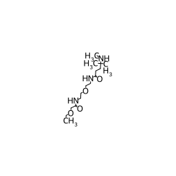 CCOCC(=O)NCCOCCNC(=O)CCC(C)(C)NC